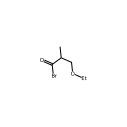 CCOCC(C)C(=O)Br